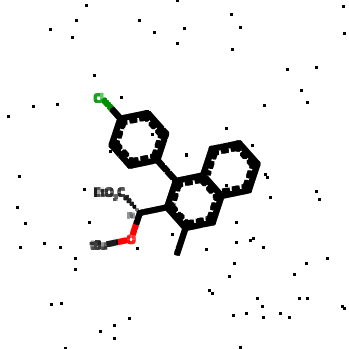 CCOC(=O)[C@@H](OC(C)(C)C)c1c(C)cc2ccccc2c1-c1ccc(Cl)cc1